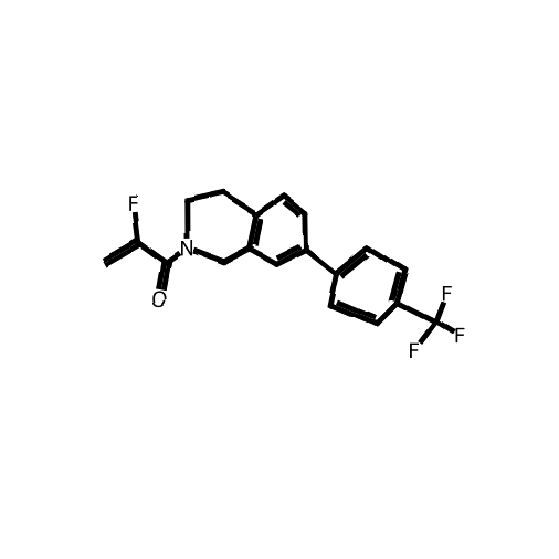 C=C(F)C(=O)N1CCc2ccc(-c3ccc(C(F)(F)F)cc3)cc2C1